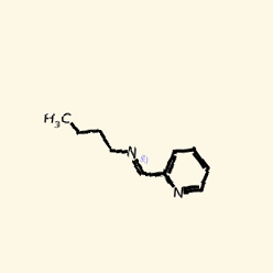 CCCC/N=C/c1ccccn1